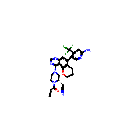 C=CC(=O)N1CCN(c2ncnc3cc(-c4cnc(N)cc4C(F)(F)F)c4c(c23)OCCC4)C[C@@H]1CC#N